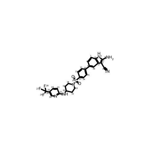 N#Cc1c(N)[nH]c2ccc(-c3ccc(S(=O)(=O)N4CCC(Nc5ccc(C(F)(F)F)cn5)CC4)cc3)cc12